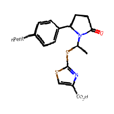 CCCCCc1ccc(C2CCC(=O)N2C(C)Sc2nc(C(=O)O)cs2)cc1